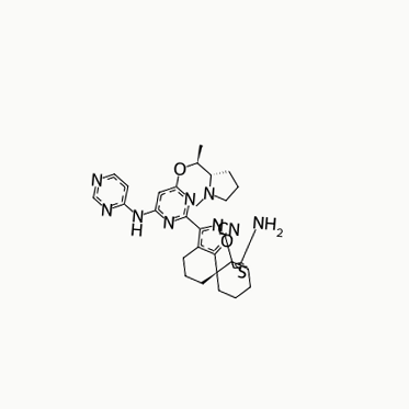 C[C@H](Oc1cc(Nc2ccncn2)nc(-c2noc3c2CCC[C@@]32CCCc3sc(N)c(C#N)c32)n1)[C@@H]1CCCN1C